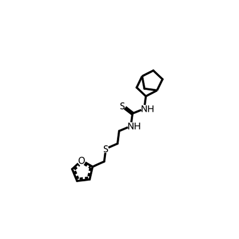 S=C(NCCSCc1ccco1)NC1CC2CCC1C2